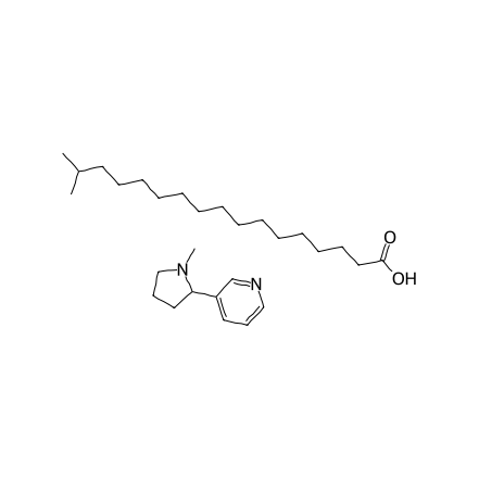 CC(C)CCCCCCCCCCCCCCC(=O)O.CN1CCCC1c1cccnc1